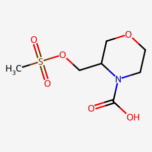 CS(=O)(=O)OCC1COCCN1C(=O)O